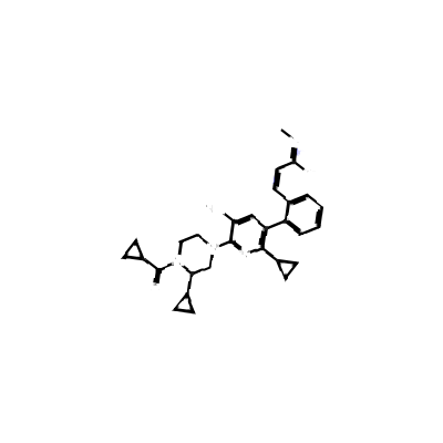 C/N=C(Cl)\C=C/c1ccccc1-c1cc(C#N)c(N2CCN(C(=O)C3CC3)C(C3CC3)C2)nc1C1CC1